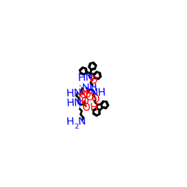 C[C@H](NC(=O)[C@H](C)NC(=O)[C@H](CCC(=O)NC(c1ccccc1)(c1ccccc1)c1ccccc1)NC(=O)OCC1c2ccccc2-c2ccccc21)C(=O)N[C@@H](CCCCN)C(=O)O